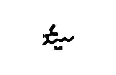 [CH2]C(CCCCCC)NC(=O)C=C.[NaH]